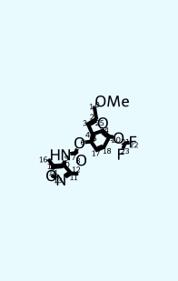 COCc1cc2c(OC(=O)Nc3c(C)noc3C)ccc(OC(F)F)c2o1